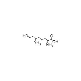 N=CCC(N)CCC[C@H](N)C(=O)O